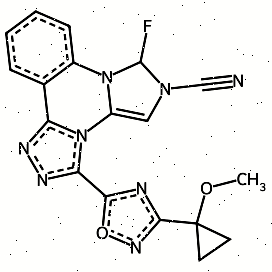 COC1(c2noc(-c3nnc4n3C3=CN(C#N)C(F)N3c3ccccc3-4)n2)CC1